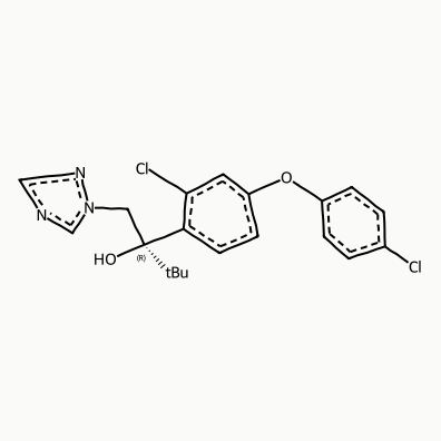 CC(C)(C)[C@](O)(Cn1cncn1)c1ccc(Oc2ccc(Cl)cc2)cc1Cl